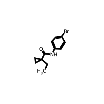 CCC1(C(=O)Nc2ccc(Br)cc2)CC1